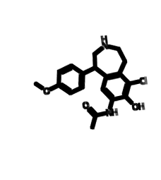 COc1ccc(C2CNCCc3c2cc(NC(C)=O)c(O)c3Cl)cc1